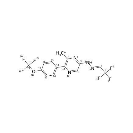 Cc1nc(N/N=C/C(F)(F)F)cnc1-c1ccc(OC(F)(F)F)cc1